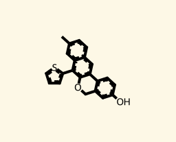 Cc1ccc2cc3c(c(-c4cccs4)c2c1)OCc1cc(O)ccc1-3